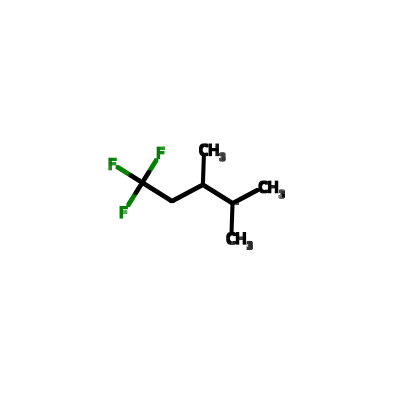 C[C](C)C(C)CC(F)(F)F